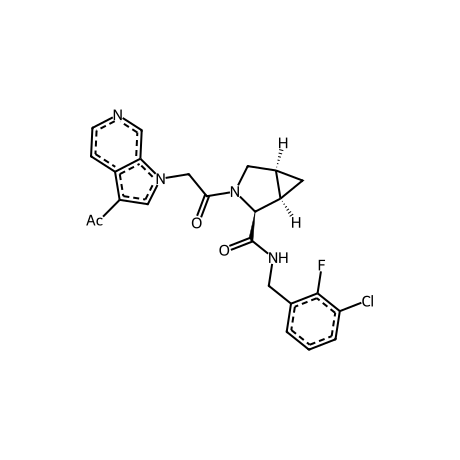 CC(=O)c1cn(CC(=O)N2C[C@H]3C[C@H]3[C@H]2C(=O)NCc2cccc(Cl)c2F)c2cnccc12